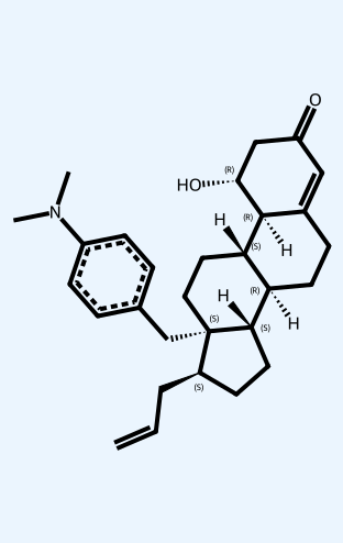 C=CC[C@@H]1CC[C@H]2[C@@H]3CCC4=CC(=O)C[C@@H](O)[C@@H]4[C@H]3CC[C@]12Cc1ccc(N(C)C)cc1